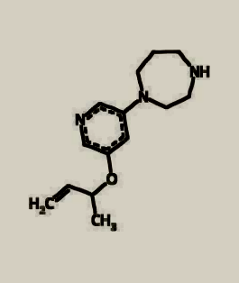 C=CC(C)Oc1cncc(N2CCCNCC2)c1